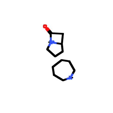 C1CCC[N]CC1.O=C1CC2CCC[N+]12